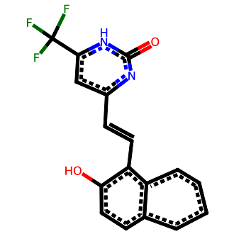 O=c1nc(C=Cc2c(O)ccc3ccccc23)cc(C(F)(F)F)[nH]1